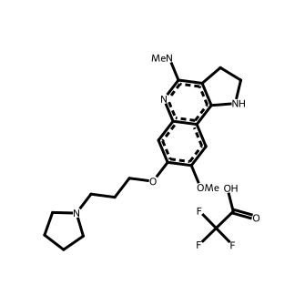 CNc1nc2cc(OCCCN3CCCC3)c(OC)cc2c2c1CCN2.O=C(O)C(F)(F)F